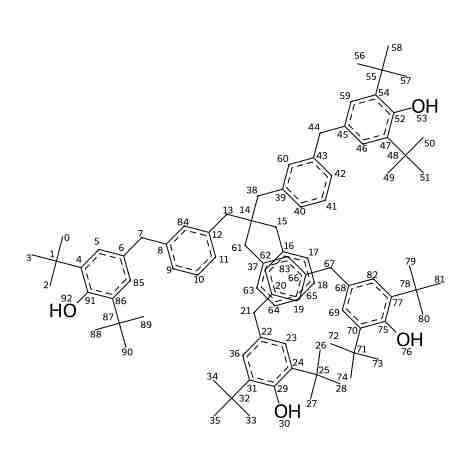 CC(C)(C)c1cc(Cc2cccc(CC(Cc3cccc(Cc4cc(C(C)(C)C)c(O)c(C(C)(C)C)c4)c3)(Cc3cccc(Cc4cc(C(C)(C)C)c(O)c(C(C)(C)C)c4)c3)Cc3cccc(Cc4cc(C(C)(C)C)c(O)c(C(C)(C)C)c4)c3)c2)cc(C(C)(C)C)c1O